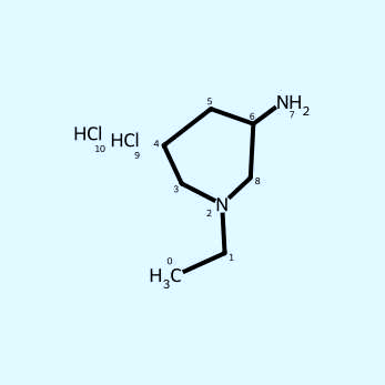 CCN1CCCC(N)C1.Cl.Cl